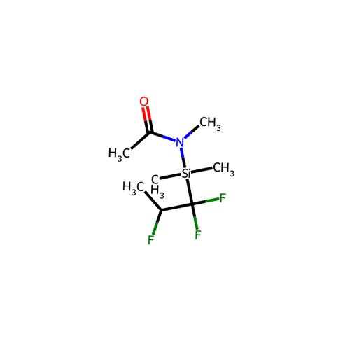 CC(=O)N(C)[Si](C)(C)C(F)(F)C(C)F